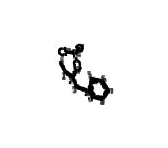 CCC(Cc1ccccc1)O[P](=O)Cl